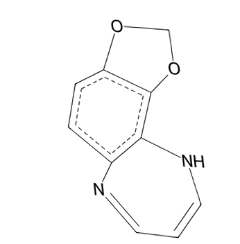 C1=CNc2c(ccc3c2OCO3)N=C1